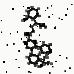 NC(CCNc1ncc(-c2cccc(C(F)(F)F)c2)c(-c2ccncc2)n1)c1ccccc1F